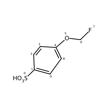 O=S(=O)(O)c1ccc(OCF)cc1